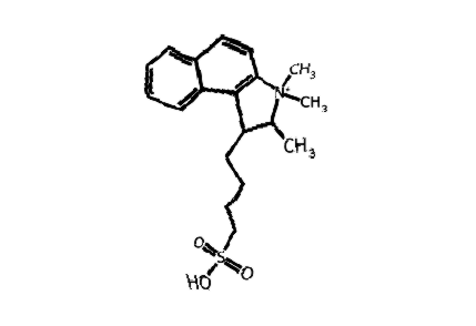 CC1C(CCCCS(=O)(=O)O)c2c(ccc3ccccc23)[N+]1(C)C